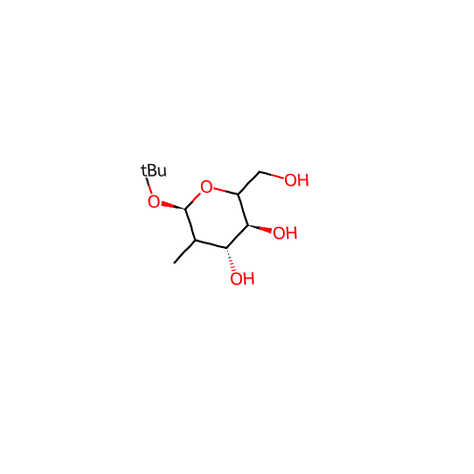 CC1[C@@H](OC(C)(C)C)OC(CO)[C@@H](O)[C@@H]1O